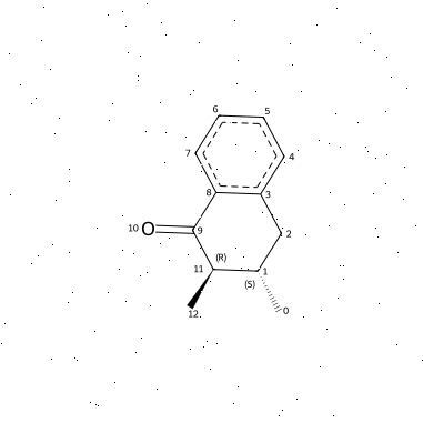 C[C@H]1Cc2ccccc2C(=O)[C@@H]1C